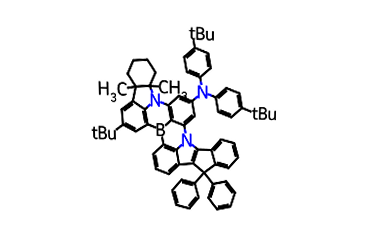 CC(C)(C)c1ccc(N(c2ccc(C(C)(C)C)cc2)c2cc3c4c(c2)-n2c5c(c6cccc(c62)B4c2cc(C(C)(C)C)cc4c2N3C2(C)CCCCC42C)C(c2ccccc2)(c2ccccc2)c2ccccc2-5)cc1